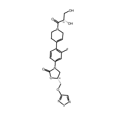 O=C([C@@H](O)CO)N1CC=C(c2ccc(N3C[C@H](COc4cnsn4)OC3=O)cc2F)CC1